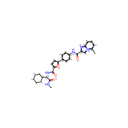 CNC(=O)[C@@H](NC(=O)c1ccc(-c2ccc(NC(=O)c3cn4c(C)cccc4n3)cc2)o1)C1CCCCC1